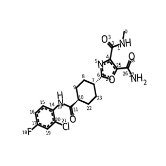 CNC(=O)c1nc([C@H]2CC[C@H](C(=O)Nc3ccc(F)cc3Cl)CC2)oc1C(N)=O